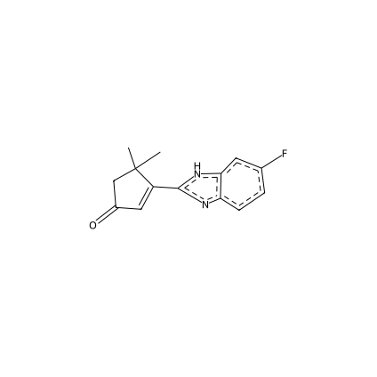 CC1(C)CC(=O)C=C1c1nc2ccc(F)cc2[nH]1